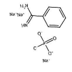 N=C(N)c1ccccc1.O=P([O-])([O-])[O-].[Na+].[Na+].[Na+]